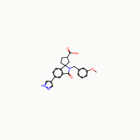 COc1cccc(CN2C(=O)c3cc(-c4cn[nH]c4)ccc3C23CCC(C(=O)O)C3)c1